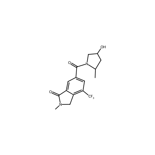 CC1CC(O)CN1C(=O)c1cc2c(c(C(F)(F)F)c1)CN(C)C2=O